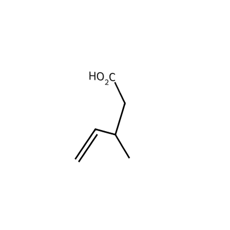 C=CC(C)CC(=O)O